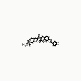 CS(=O)(=O)N1CCC(CC(=O)NC(Cc2ccc(OCc3ccccc3)cc2)C(=O)O)CC1